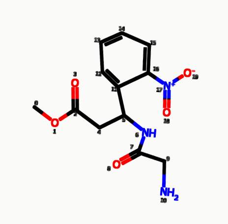 COC(=O)CC(NC(=O)CN)c1ccccc1[N+](=O)[O-]